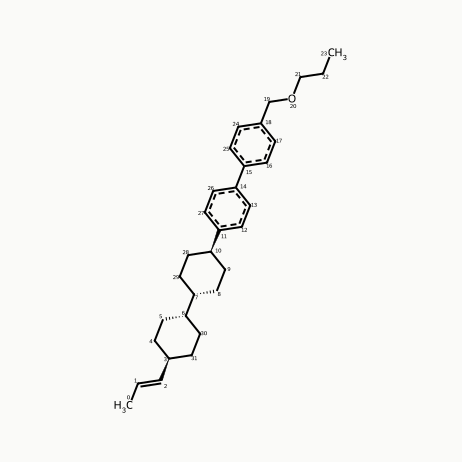 CC=C[C@H]1CC[C@H]([C@H]2CC[C@H](c3ccc(-c4ccc(COCCC)cc4)cc3)CC2)CC1